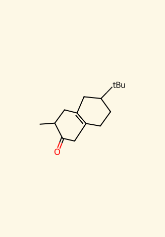 CC1CC2=C(CCC(C(C)(C)C)C2)CC1=O